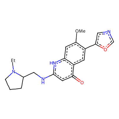 CCN1CCCC1CNc1cc(=O)c2cc(-c3cnco3)c(OC)cc2[nH]1